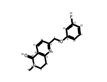 CN1CCc2nc(COc3cccc(F)c3)ccc2C1=O